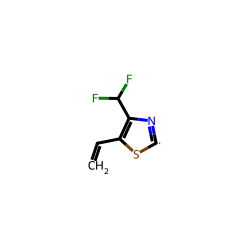 C=Cc1s[c]nc1C(F)F